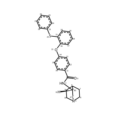 O=C(N[C@H]1CN2CCC1CC2)c1ccc(Oc2ccccc2Sc2ccccc2)cc1